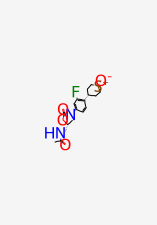 CC(=O)NC[C@H]1CN(c2ccc([C@H]3CC[S@@+]([O-])CC3)c(F)c2)C(=O)O1